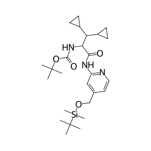 CC(C)(C)OC(=O)NC(C(=O)Nc1cc(CO[Si](C)(C)C(C)(C)C)ccn1)C(C1CC1)C1CC1